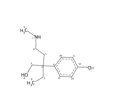 CCC(CO)(CCNC)c1ccc(Cl)cc1